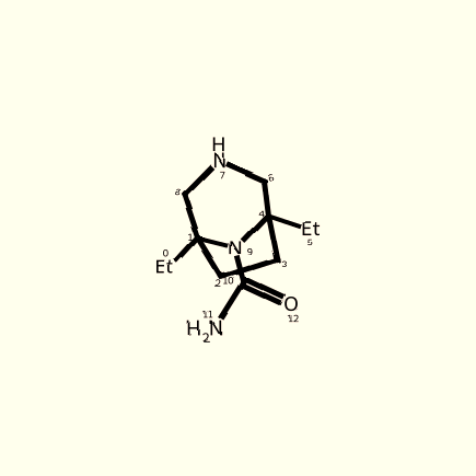 CCC12CCC(CC)(CNC1)N2C(N)=O